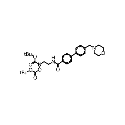 CC(C)(C)OC(=O)ON(CCNC(=O)c1ccc(-c2ccc(CN3CCOCC3)cc2)cc1)C(=O)OC(C)(C)C